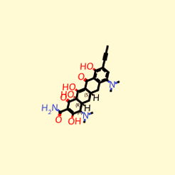 CC#Cc1cc(N(C)C)c2c(c1O)C(=O)C1=C(O)[C@]3(O)C(=O)C(C(N)=O)=C(O)[C@H](N(C)C)[C@H]3C[C@H]1C2